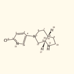 Clc1ccc(N2CC[C@@H]3CCN[C@@H]3C2)cn1